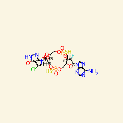 Nc1ncnc2c1ncn2[C@@H]1OC2COP(=O)(S)O[C@@H]3[C@H](O)C(COP(=O)(S)O[C@H]2[C@H]1F)O[C@H]3n1cc(Cl)c2c(=O)[nH]cnc21